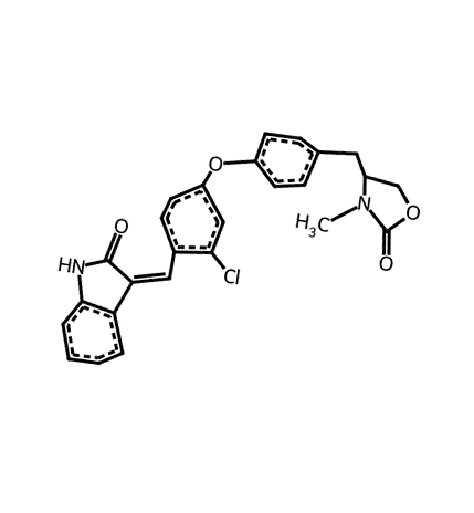 CN1C(=O)OCC1Cc1ccc(Oc2ccc(C=C3C(=O)Nc4ccccc43)c(Cl)c2)cc1